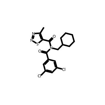 Cc1nnsc1C(=O)N(CC1CCCCC1)C(=O)c1cc(Cl)cc(Cl)c1